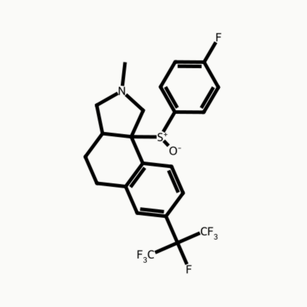 CN1CC2CCc3cc(C(F)(C(F)(F)F)C(F)(F)F)ccc3C2([S+]([O-])c2ccc(F)cc2)C1